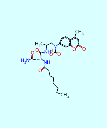 CCCCCCCC(=O)N[C@H](CC(N)=O)C(=O)N[C@@H](C)CN(C(=O)O)c1ccc2c(C)cc(=O)oc2c1